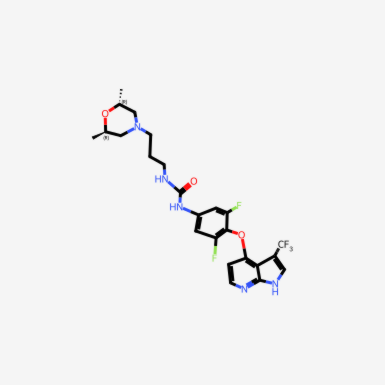 C[C@@H]1CN(CCCNC(=O)Nc2cc(F)c(Oc3ccnc4[nH]cc(C(F)(F)F)c34)c(F)c2)C[C@@H](C)O1